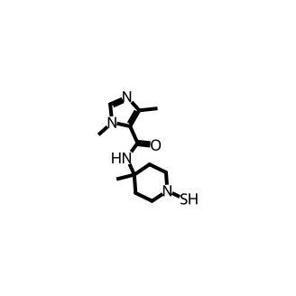 Cc1ncn(C)c1C(=O)NC1(C)CCN(S)CC1